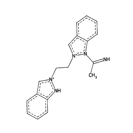 CC(=N)n1c2ccccc2c[n+]1CC[n+]1cc2ccccc2[nH]1